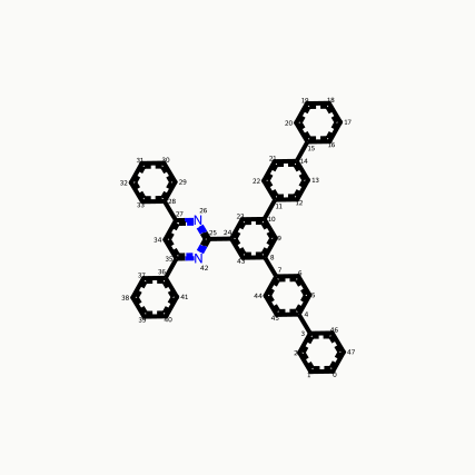 c1ccc(-c2ccc(-c3cc(-c4ccc(-c5ccccc5)cc4)cc(-c4nc(-c5ccccc5)cc(-c5ccccc5)n4)c3)cc2)cc1